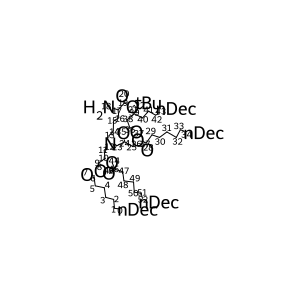 CCCCCCCCCCCCCCCC(=O)OCC(CN(CCCCC(N)C(=O)OC(C)(C)C)CC(COC(=O)CCCCCCCCCCCCCCC)OC(=O)CCCCCCCCCCCCCCC)OC(=O)CCCCCCCCCCCCCCC